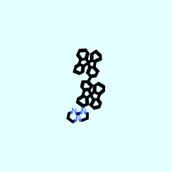 c1ccc2c(c1)-c1ccccc1C21c2ccccc2-c2ccc(-c3ccc4c(c3)C3(c5ccccc5-c5ccccc53)c3cc(N5CCCN6CCCN=C65)ccc3-4)cc21